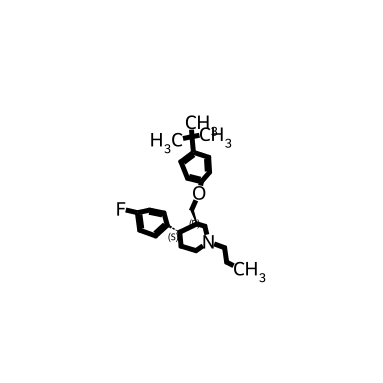 CCCN1CC[C@H](c2ccc(F)cc2)[C@@H](COc2ccc(C(C)(C)C)cc2)C1